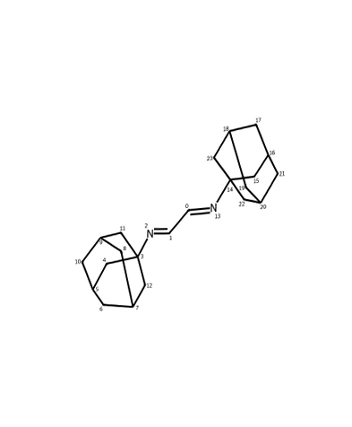 C(/C=N/C12CC3CC(CC(C3)C1)C2)=NC12CC3CC(CC(C3)C1)C2